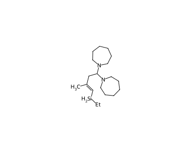 CC[SiH2]C=C(C)CC(N1CCCCCC1)N1CCCCCC1